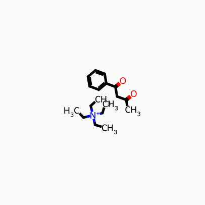 CC(=O)CC(=O)c1ccccc1.CC[N+](CC)(CC)CC